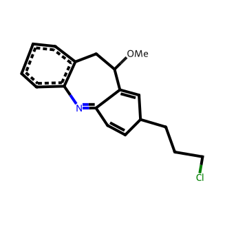 COC1Cc2ccccc2N=C2C=CC(CCCCl)C=C21